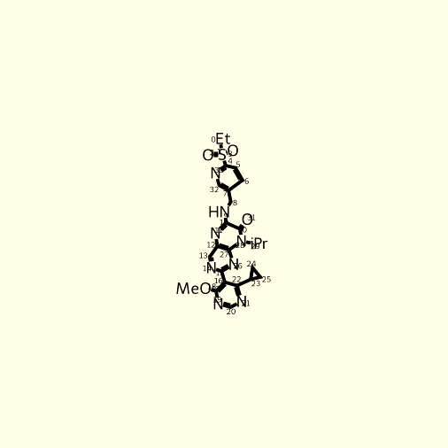 CCS(=O)(=O)c1ccc(CNc2nc3cnc(-c4c(OC)ncnc4C4CC4)nc3n(C(C)C)c2=O)cn1